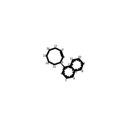 C1=C\[C@@H](c2cccc3ccccc23)CCCCC/1